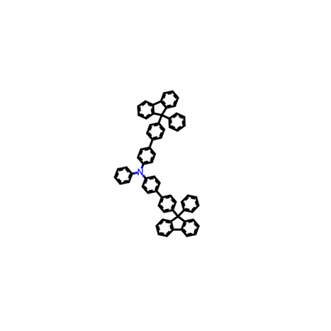 c1ccc(N(c2ccc(-c3ccc(C4(c5ccccc5)c5ccccc5-c5ccccc54)cc3)cc2)c2ccc(-c3ccc(C4(c5ccccc5)c5ccccc5-c5ccccc54)cc3)cc2)cc1